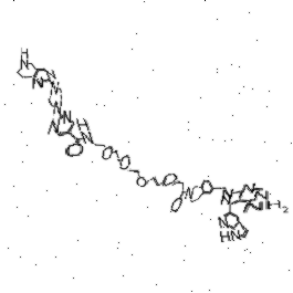 Nc1ncnc2c1c(-c1cnc3[nH]ccc3c1)nn2Cc1ccc2c(c1)CCN(C(=O)CCOCCOCCOCCOCCNC(=O)c1cnc(N3CCN(c4ncc5c(n4)CCNC5)CC3)nc1)C2